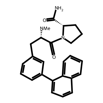 CN[C@@H](Cc1cccc(-c2cccc3ccccc23)c1)C(=O)N1CCC[C@H]1C(N)=O